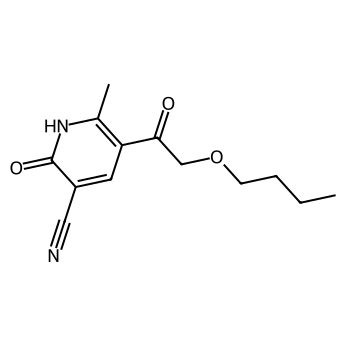 CCCCOCC(=O)c1cc(C#N)c(=O)[nH]c1C